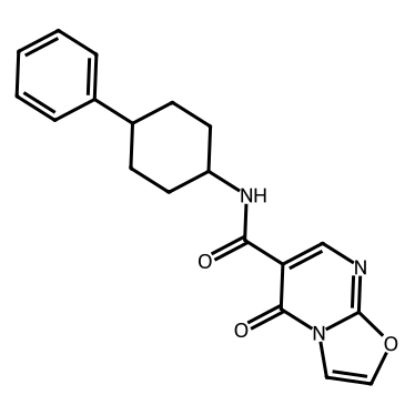 O=C(NC1CCC(c2ccccc2)CC1)c1cnc2occn2c1=O